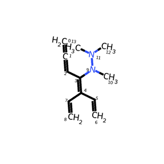 C=C=CC(=C(C=C)C=C)N(C)N(C)C